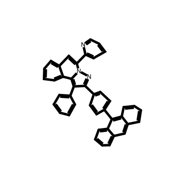 c1ccc(-c2c(-c3ccc(-c4c5ccccc5cc5ccccc45)cc3)nn3c(-c4ccccn4)cc4ccccc4c23)cc1